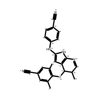 Cc1cc(C#N)cc(C)c1OC1c2cc(Nc3ccc(C#N)cc3)[nH]c2N=CC1C